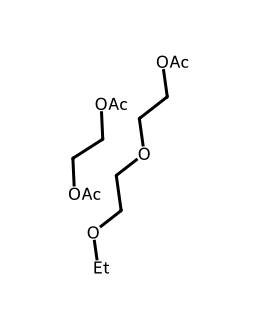 CC(=O)OCCOC(C)=O.CCOCCOCCOC(C)=O